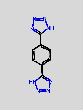 c1cc(-c2nnn[nH]2)ccc1-c1nnn[nH]1